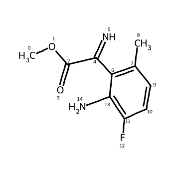 COC(=O)C(=N)c1c(C)ccc(F)c1N